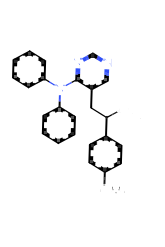 COc1ccc(C(Cc2cncnc2N(c2ccccc2)c2ccccc2)C(=O)O)cc1